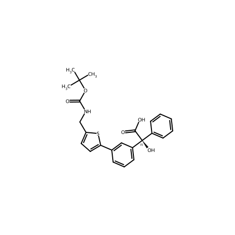 CC(C)(C)OC(=O)NCc1ccc(-c2cccc([C@](O)(C(=O)O)c3ccccc3)c2)s1